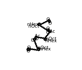 CCCCCCCCC1C(CCCCCC)CCC(CCCCCCCCC2CC(=O)C=CC2=O)C1CCCCCCCCCC1C(=O)C=C(N(CCCCCCCCC2C(CCCCCCCCC(CC3CC(=O)C(CCCCCCCCCC4C(CCCCCCCCN5COCC=CC5=O)CCC(CCCCCC)C4CCCCCCCC)CC3=O)C(C)=O)CCC(CCCCCC)C2CCCCCCCC)C(C)=O)C1=O